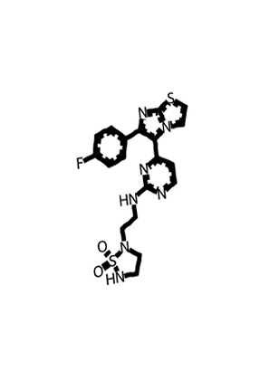 O=S1(=O)NCCN1CCNc1nccc(-c2c(-c3ccc(F)cc3)nc3sccn23)n1